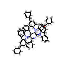 N#Cc1cccc(-c2c(-n3c4ccccc4c4cc(-c5ccccc5)ccc43)c(-c3ccccc3)nc(-n3c4ccccc4c4cc(-c5ccccc5)ccc43)c2-n2c3ccccc3c3cc(-c4ccccc4)ccc32)c1C#N